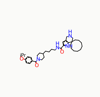 CC(C)Oc1ccc(C(=O)N2CCC(CCCCNC(=O)c3cc4c([nH]3)C3(CCCCCCCCC3)CNC4)CC2)cc1